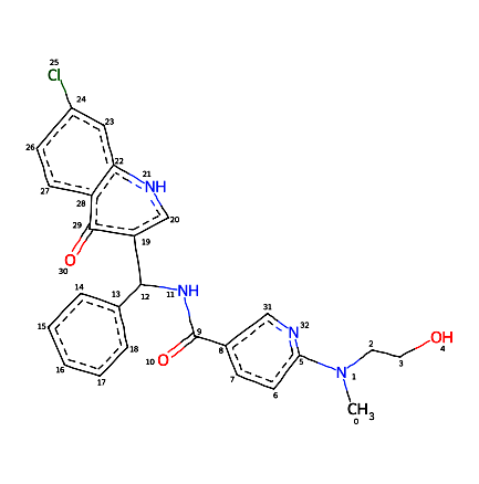 CN(CCO)c1ccc(C(=O)NC(c2ccccc2)c2c[nH]c3cc(Cl)ccc3c2=O)cn1